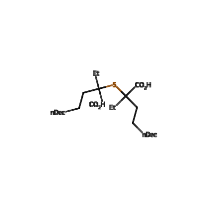 CCCCCCCCCCCCC(CC)(SC(CC)(CCCCCCCCCCCC)C(=O)O)C(=O)O